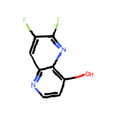 Oc1ccnc2cc(F)c(F)nc12